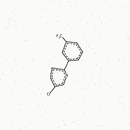 FC(F)(F)c1cccc(-c2[c]cc(Cl)cn2)c1